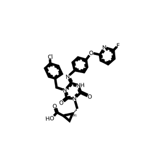 O=C(O)C1C[C@H]1Cn1c(=O)[nH]c(=Nc2ccc(Oc3cccc(F)n3)cc2)n(Cc2ccc(Cl)cc2)c1=O